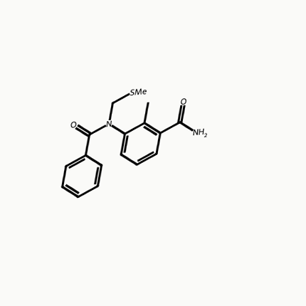 CSCN(C(=O)c1ccccc1)c1cccc(C(N)=O)c1C